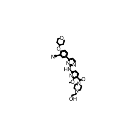 COc1nc(Nc2nccc(-c3ccc(OC4CCOCC4)c(C#N)c3)n2)ccc1C(=O)N1CCN(CCO)CC1